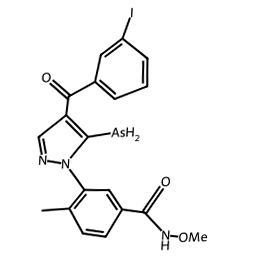 CONC(=O)c1ccc(C)c(-n2ncc(C(=O)c3cccc(I)c3)c2[AsH2])c1